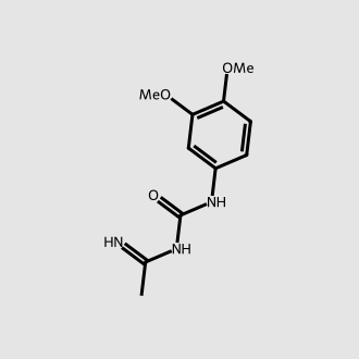 COc1ccc(NC(=O)NC(C)=N)cc1OC